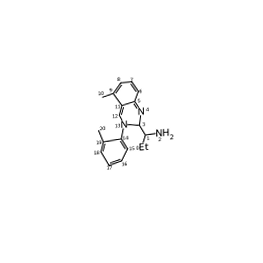 CCC(N)C1N=c2cccc(C)c2=CN1c1ccccc1C